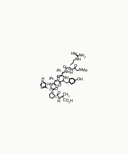 CNCC(=O)N[C@@H](CCCNC(=N)N)C(=O)N[C@H](C(=O)N[C@@H](Cc1ccc(O)cc1)C(=O)N[C@H](C(=O)N[C@@H](Cc1c[nH]cn1)C(=O)N1CCC[C@H]1C(=O)N[C@H](C)C(=O)O)C(C)C)C(C)C